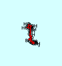 CC(=O)[C@@H](CCC(=O)O)NC(=O)N[C@H](CCCCN(Cc1ccc(Br)nc1)C(=O)c1ccc(CNC(=O)CCCCNC(=O)CCC(C(=O)O)N2CCN(CC(=O)O)CCN(CC(=O)O)CCN(CC(=O)O)CC2)cc1)C(=O)O